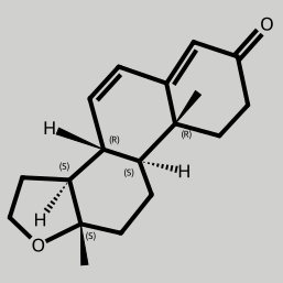 C[C@]12CCC(=O)C=C1C=C[C@@H]1[C@@H]2CC[C@]2(C)OCC[C@@H]12